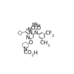 Cc1cc(N(C(=O)OC(C)(C)C)c2cc(OC3CCCN(C(=O)O)C3)nc3c(C4CCC4)cnn23)cc(C(F)(F)F)c1